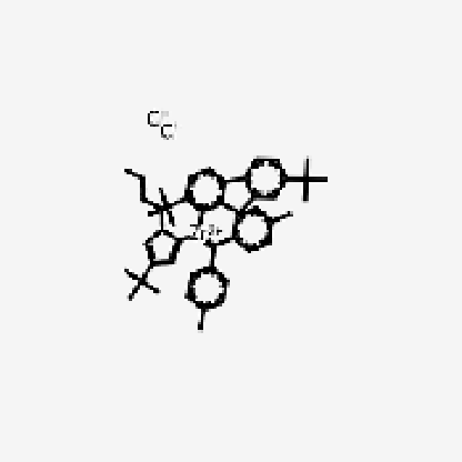 CCCCC1C=C(C(C)(C)C)C=[C]1[Zr+2](=[C](c1ccc(C)cc1)c1ccc(C)cc1)[c]1c(C(C)(C)C)ccc2c1Cc1cc(C(C)(C)C)ccc1-2.[Cl-].[Cl-]